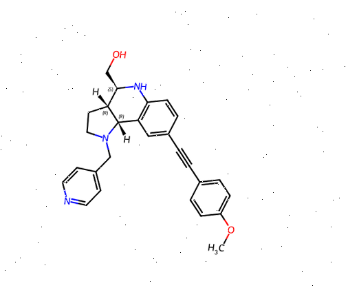 COc1ccc(C#Cc2ccc3c(c2)[C@H]2[C@H](CCN2Cc2ccncc2)[C@@H](CO)N3)cc1